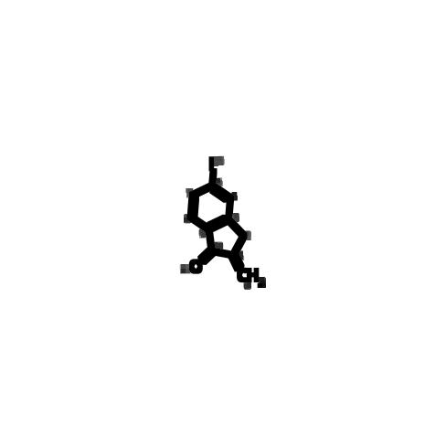 C=C1Cc2cc(F)ccc2C1=O